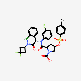 Cc1ccc(S(=O)(=O)OC2CC(C(=O)N(c3cccc(F)c3)[C@H](C(=O)NC3CC(F)(F)C3)c3ccccc3Cl)N(C(=O)O)C2)cc1